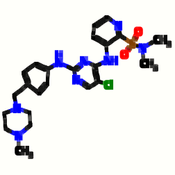 CN1CCN(Cc2ccc(Nc3ncc(Cl)c(Nc4cccnc4S(=O)(=O)N(C)C)n3)cc2)CC1